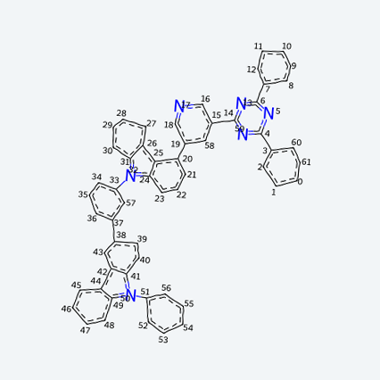 c1ccc(-c2nc(-c3ccccc3)nc(-c3cncc(-c4cccc5c4c4ccccc4n5-c4cccc(-c5ccc6c(c5)c5ccccc5n6-c5ccccc5)c4)c3)n2)cc1